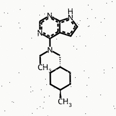 CCN(C[C@H]1CC[C@H](C)CC1)c1ncnc2[nH]ccc12